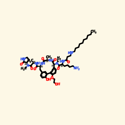 CCCCCCCCCCNCCC(=O)N[C@@H](CCCCN)C(=O)N(C)[C@@H]1C(=O)N[C@@H](C)C(=O)N[C@H](C(=O)N[C@@H](C)C(=O)N(C)[C@H]2CCNC2=O)Cc2ccc(O)c(c2)-c2cc1ccc2OCCO